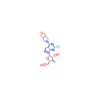 C=C1[C@@H](O)[C@H](n2ncc3c(N4CC5COCC5C4)nc(Cl)nc32)O[C@@H]1CO